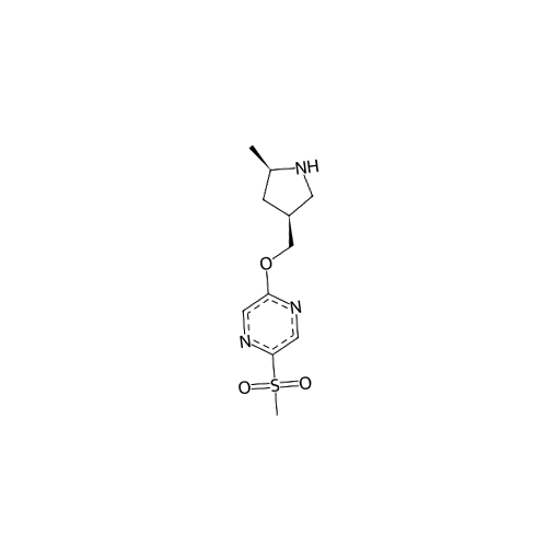 C[C@@H]1C[C@H](COc2cnc(S(C)(=O)=O)cn2)CN1